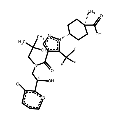 CC(C)(C)CN(C[C@@H](O)c1ncccc1Cl)C(=O)c1cnn([C@H]2CC[C@](C)(C(=O)O)CC2)c1C(F)(F)F